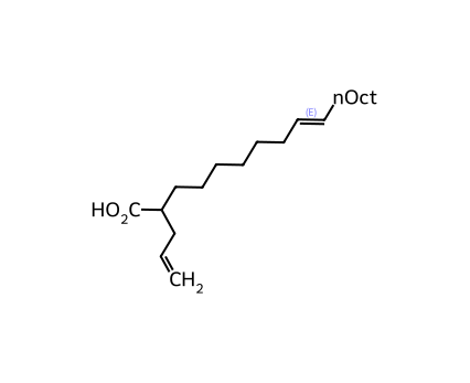 C=CCC(CCCCCC/C=C/CCCCCCCC)C(=O)O